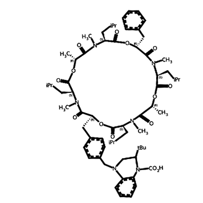 CC(C)C[C@H]1C(=O)O[C@H](Cc2ccc(CN3CC(C(C)(C)C)N(C(=O)O)c4ccccc43)cc2)C(=O)N(C)[C@@H](CC(C)C)C(=O)O[C@H](C)C(=O)N(C)[C@@H](CC(C)C)C(=O)O[C@H](Cc2ccccc2)C(=O)N(C)[C@@H](CC(C)C)C(=O)O[C@H](C)C(=O)N1C